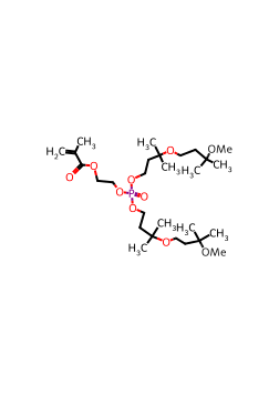 C=C(C)C(=O)OCCOP(=O)(OCCC(C)(C)OCCC(C)(C)OC)OCCC(C)(C)OCCC(C)(C)OC